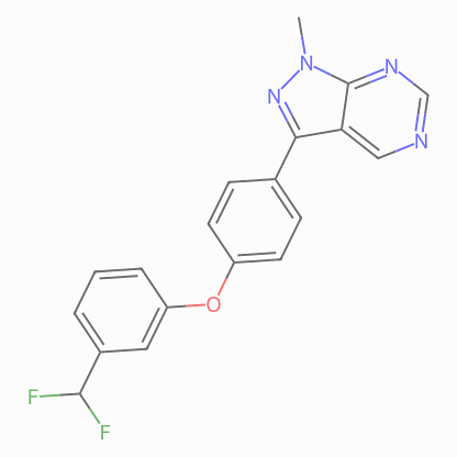 Cn1nc(-c2ccc(Oc3cccc(C(F)F)c3)cc2)c2cncnc21